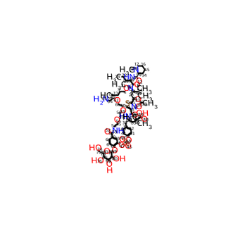 C#CCCCON(C(=O)[C@@H](NC(=O)[C@H]1CCCCN1C)[C@@H](C)CC)[C@H](C[C@@H](OC(C)=O)c1nc(C(=O)N[C@@H](Cc2ccc(OS(=O)(=O)Oc3cc(C(=O)NCCOCCOCCOCCN)ccc3O[C@@H]3O[C@H](CO)[C@H](O)[C@H](O)[C@H]3O)cc2)CC(C)(C)C(=O)O)cs1)C(C)C